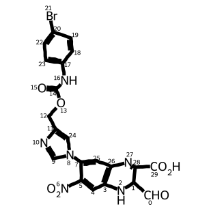 O=CC1Nc2cc([N+](=O)[O-])c(-n3cnc(COC(=O)Nc4ccc(Br)cc4)c3)cc2N=C1C(=O)O